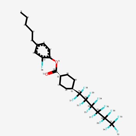 CCCCCc1ccc(OC(=O)[C@H]2CC[C@H](C(F)(F)C(F)(F)C(F)(F)C(F)(F)C(F)(F)C(F)(F)F)CC2)c(F)c1